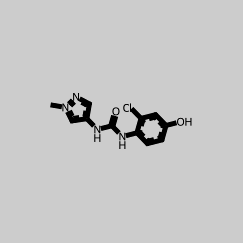 Cn1cc(NC(=O)Nc2ccc(O)cc2Cl)cn1